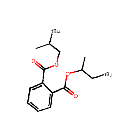 CC(CC(C)(C)C)OC(=O)c1ccccc1C(=O)OCC(C)C(C)(C)C